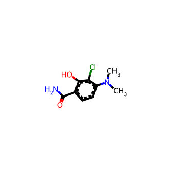 CN(C)c1ccc(C(N)=O)c(O)c1Cl